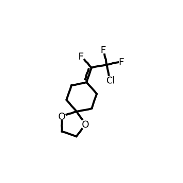 FC(=C1CCC2(CC1)OCCO2)C(F)(F)Cl